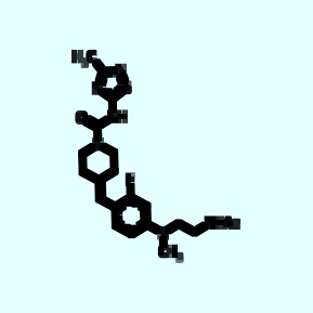 CC(=O)NCCN(C)c1ccc(C=C2CCN(C(=O)Nc3nc(C)ns3)CC2)c(F)c1